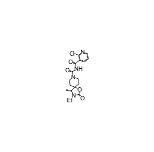 C=C1N(CC)C(=O)OC12CCN(C(=O)NC(=O)c1cccnc1Cl)CC2